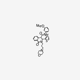 COc1cccc(NC(=O)C2c3ccccc3C(=O)N(CCCN3CCOCC3)C2c2cccs2)c1